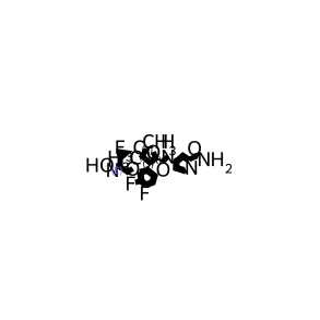 C[C@H]1[C@@H](c2ccc(F)c(F)c2OC/C(=N/O)C2CC2)[C@H](C(=O)Nc2ccnc(C(N)=O)c2)O[C@@]1(C)C(F)(F)F